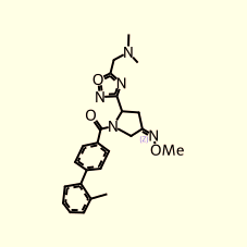 CO/N=C1/CC(c2noc(CN(C)C)n2)N(C(=O)c2ccc(-c3ccccc3C)cc2)C1